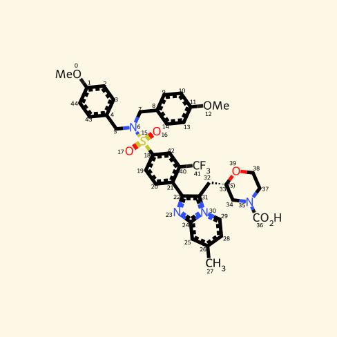 COc1ccc(CN(Cc2ccc(OC)cc2)S(=O)(=O)c2ccc(-c3nc4cc(C)ccn4c3C[C@H]3CN(C(=O)O)CCO3)c(C(F)(F)F)c2)cc1